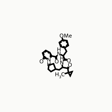 COc1ccc(CC(NC(=O)c2cccc(=O)[nH]2)C(=O)NC(CC2CCCC2)C(=O)C2(C)CC2)cc1